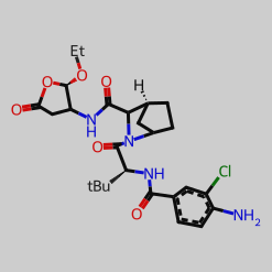 CCO[C@@H]1OC(=O)CC1NC(=O)C1[C@H]2CCC(C2)N1C(=O)[C@@H](NC(=O)c1ccc(N)c(Cl)c1)C(C)(C)C